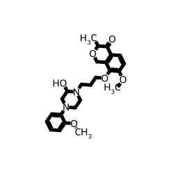 COc1ccccc1N1CCN(CCCOc2c(OC)ccc3c2COC(C)C3=O)C(O)C1